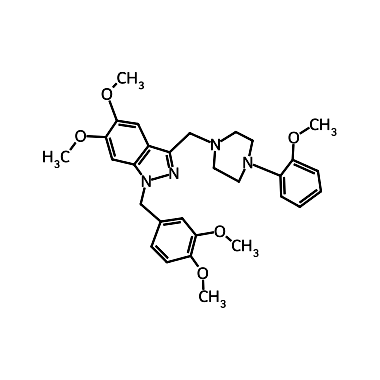 COc1ccc(Cn2nc(CN3CCN(c4ccccc4OC)CC3)c3cc(OC)c(OC)cc32)cc1OC